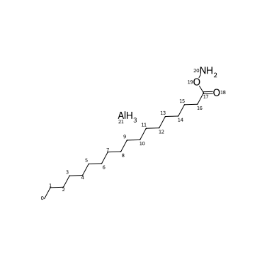 CCCCCCCCCCCCCCCCCC(=O)ON.[AlH3]